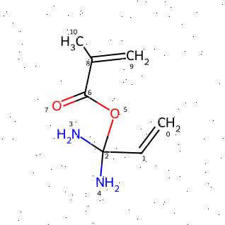 C=CC(N)(N)OC(=O)C(=C)C